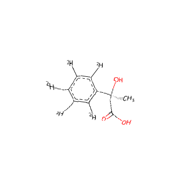 [2H]c1c([2H])c([2H])c([C@@](C)(O)C(=O)O)c([2H])c1[2H]